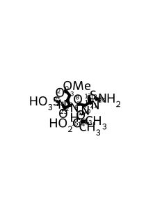 COC(=O)CC1C(NC(=O)/C(=N\OC(C)(C)C(=O)O)c2csc(N)n2)C(=O)N1S(=O)(=O)O